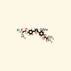 C=C(C)C(=O)Oc1ccc(-c2ccc(-c3ccc(OC(=O)C(=C)C)cc3OC)o2)cc1